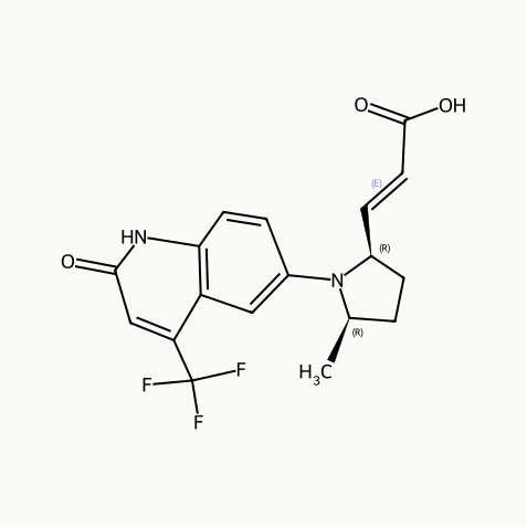 C[C@@H]1CC[C@H](/C=C/C(=O)O)N1c1ccc2[nH]c(=O)cc(C(F)(F)F)c2c1